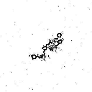 C[Si](C)(CCCC1CCC(CC[Si](C)(C)O[Si](C)(C)CCC2CCC3OC3C2)CC1CC[Si](C)(C)O[Si](C)(C)CCC1CCC2OC2C1)O[Si](C)(C)CCC1CCC2OC2C1